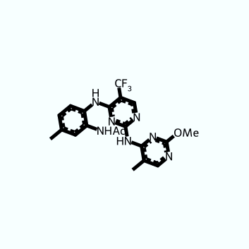 COc1ncc(C)c(Nc2ncc(C(F)(F)F)c(Nc3ccc(C)cc3NC(C)=O)n2)n1